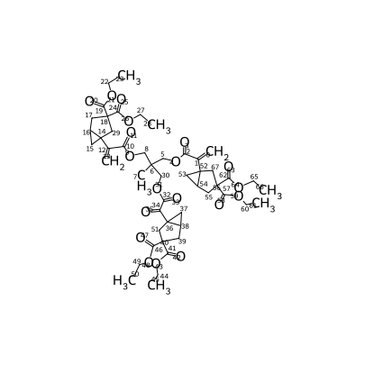 C=C(C(=O)OCC(C)(COC(=O)C(=C)C12CC1CC(C(=O)OCC)(C(=O)OCC)C2)COC(=O)C(=O)C12CC1CC(C(=O)OCC)(C(=O)OCC)C2)C12CC1CC(C(=O)OCC)(C(=O)OCC)C2